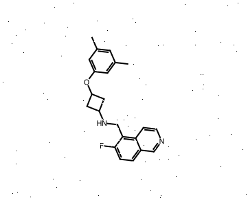 Cc1cc(C)cc(OC2CC(NCc3c(F)ccc4cnccc34)C2)c1